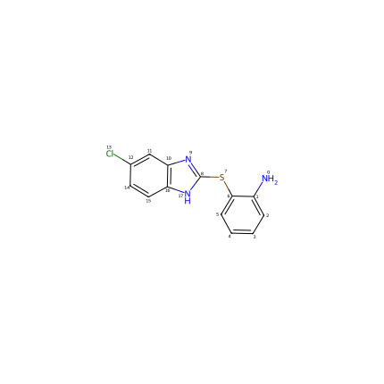 Nc1ccccc1Sc1nc2cc(Cl)ccc2[nH]1